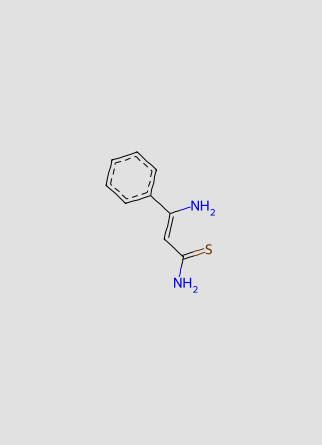 NC(=S)C=C(N)c1ccccc1